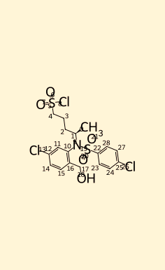 C[C@H](CCCS(=O)(=O)Cl)N(c1cc(Cl)ccc1CO)S(=O)(=O)c1ccc(Cl)cc1